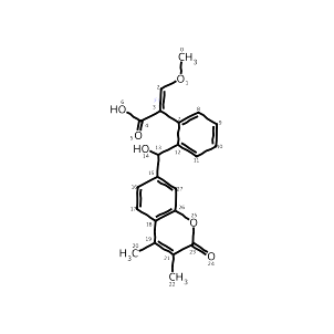 CO/C=C(/C(=O)O)c1ccccc1C(O)c1ccc2c(C)c(C)c(=O)oc2c1